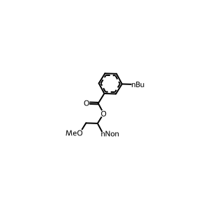 CCCCCCCCCC(COC)OC(=O)c1cccc(CCCC)c1